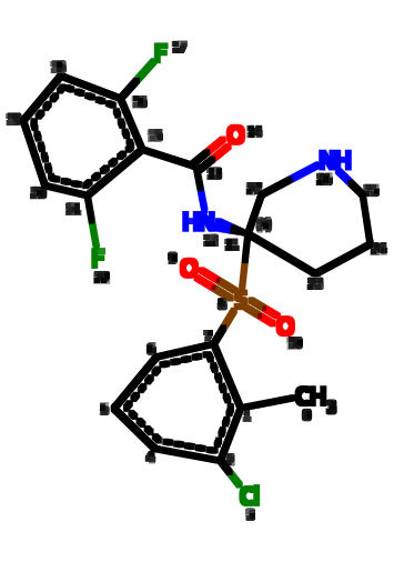 Cc1c(Cl)cccc1S(=O)(=O)[C@@]1(NC(=O)c2c(F)cccc2F)CCCNC1